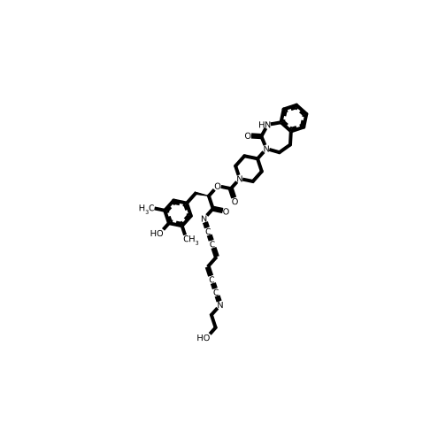 Cc1cc(C[C@@H](OC(=O)N2CCC(N3CCc4ccccc4NC3=O)CC2)C(=O)N=C=C=CC=C=C=NCCO)cc(C)c1O